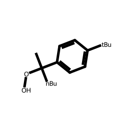 CCCCC(C)(OO)c1ccc(C(C)(C)C)cc1